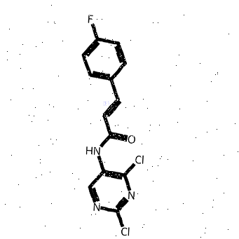 O=C(/C=C/c1ccc(F)cc1)Nc1cnc(Cl)nc1Cl